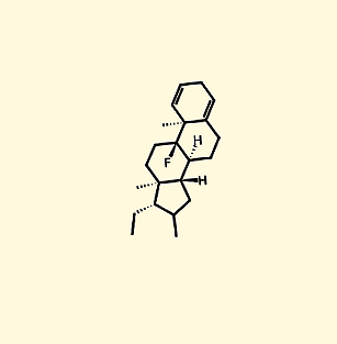 CC[C@H]1C(C)C[C@H]2[C@@H]3CCC4=CCC=C[C@]4(C)[C@@]3(F)CC[C@]12C